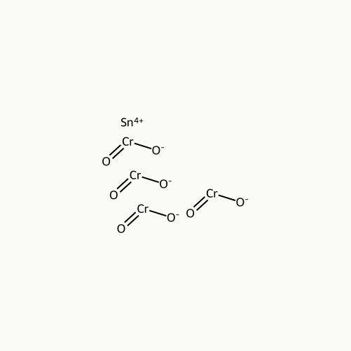 [O]=[Cr][O-].[O]=[Cr][O-].[O]=[Cr][O-].[O]=[Cr][O-].[Sn+4]